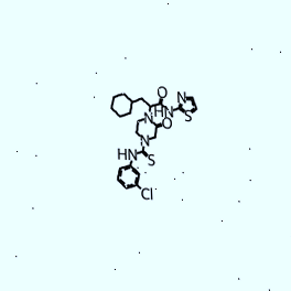 O=C(Nc1nccs1)C(CC1CCCCC1)N1CCN(C(=S)Nc2cccc(Cl)c2)CC1=O